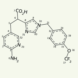 Nc1ccc(CC(C(=O)O)c2cn(Cc3ccc(OC(F)(F)F)cc3)cn2)cn1